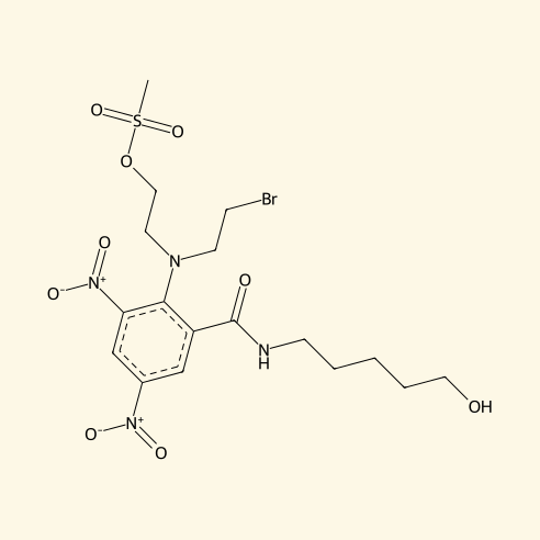 CS(=O)(=O)OCCN(CCBr)c1c(C(=O)NCCCCCO)cc([N+](=O)[O-])cc1[N+](=O)[O-]